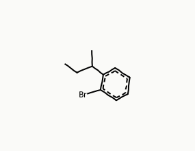 CCC(C)c1ccccc1Br